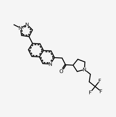 Cn1cc(-c2ccc3cnc(CC(=O)C4CCN(CCC(F)(F)F)C4)cc3c2)cn1